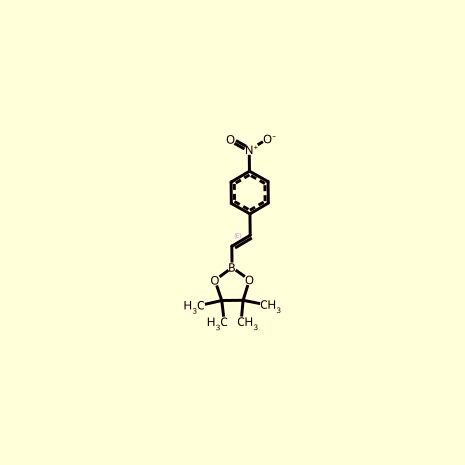 CC1(C)OB(/C=C/c2ccc([N+](=O)[O-])cc2)OC1(C)C